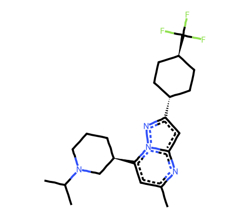 Cc1cc([C@@H]2CCCN(C(C)C)C2)n2nc([C@H]3CC[C@H](C(F)(F)F)CC3)cc2n1